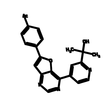 CC(=O)c1ccc(-c2cc3ncnc(-c4ccnc(C(C)(C)O)c4)c3o2)cc1